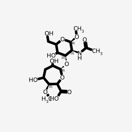 CO[C@H]1C(O)CC(O)[C@H](O[C@@H]2C(O)C(CO)O[C@@H](OC)[C@H]2NC(C)=O)OC1C(=O)O